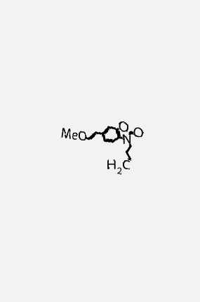 C=CCCn1c(=O)oc2cc(/C=C/OC)ccc21